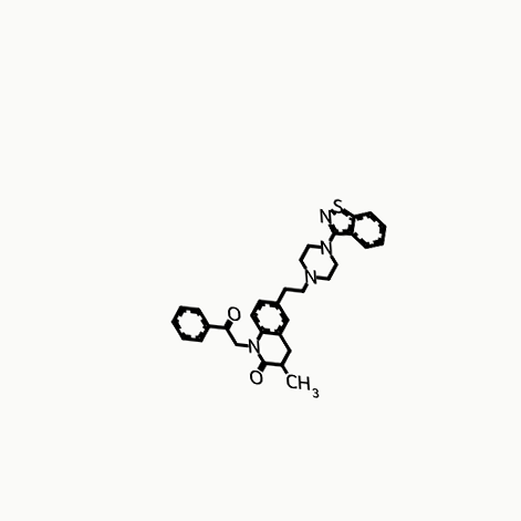 CC1Cc2cc(CCN3CCN(c4nsc5ccccc45)CC3)ccc2N(CC(=O)c2ccccc2)C1=O